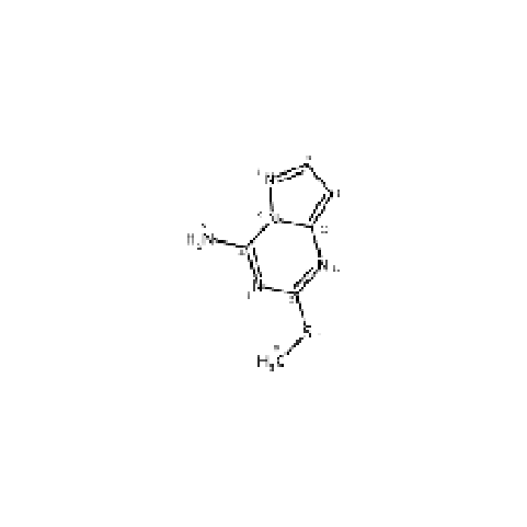 CSc1nc(N)n2nccc2n1